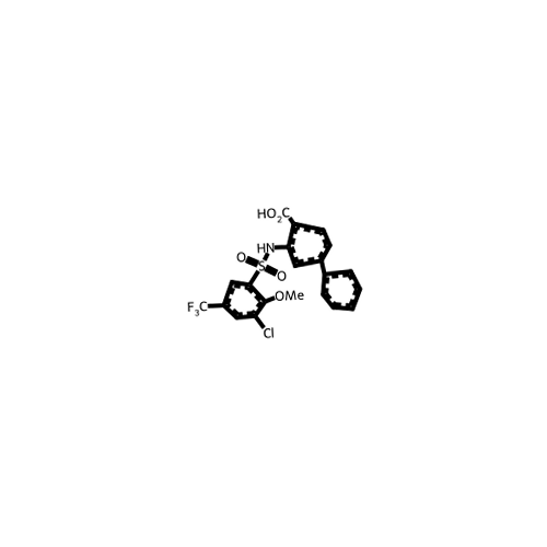 COc1c(Cl)cc(C(F)(F)F)cc1S(=O)(=O)Nc1cc(-c2ccccc2)ccc1C(=O)O